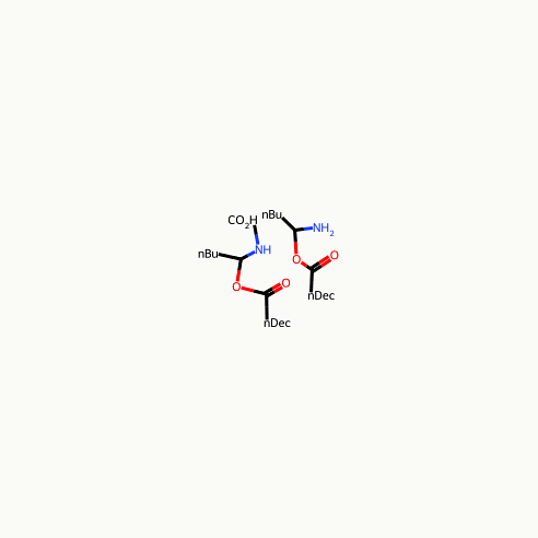 CCCCCCCCCCC(=O)OC(CCCC)NC(=O)O.CCCCCCCCCCC(=O)OC(N)CCCC